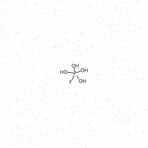 OP(O)(O)(O)F